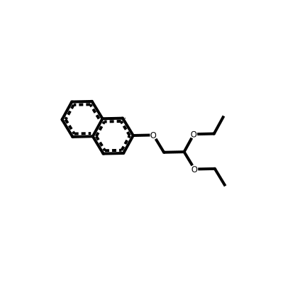 CCOC(COc1[c]c2ccccc2cc1)OCC